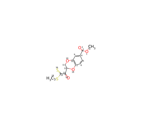 COC(=O)c1ccc2c(c1)OCC(C(=O)C(=S)SC)O2